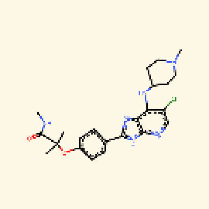 CNC(=O)C(C)(C)Oc1ccc(-c2nc3c(NC4CCN(C)CC4)c(Cl)cnc3[nH]2)cc1